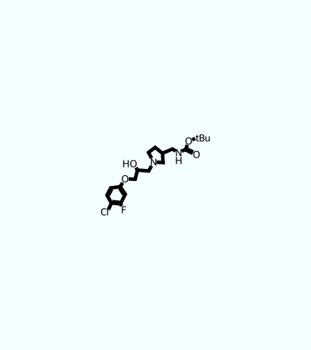 CC(C)(C)OC(=O)NCC1CCN(CC(O)COc2ccc(Cl)c(F)c2)C1